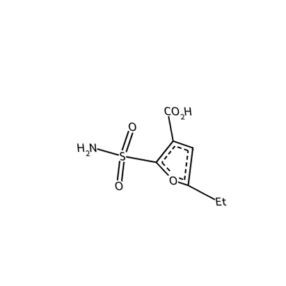 CCc1cc(C(=O)O)c(S(N)(=O)=O)o1